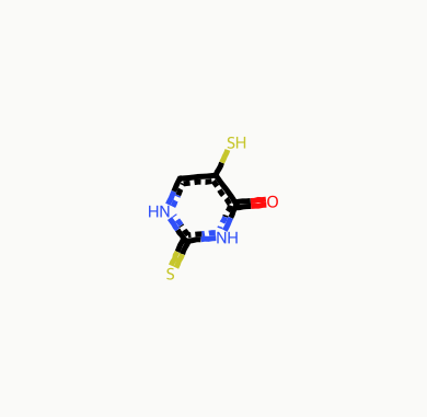 O=c1[nH]c(=S)[nH]cc1S